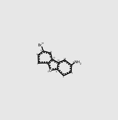 Nc1ccc2oc3ccc(Br)cc3c2c1